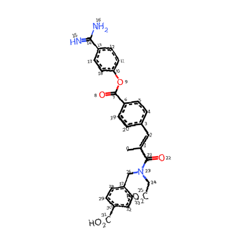 C/C(=C\c1ccc(C(=O)Oc2ccc(C(=N)N)cc2)cc1)C(=O)N(CC(=O)O)Cc1ccc(C(=O)O)cc1